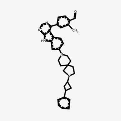 Cc1cc(-c2ncnc3[nH]c4cc(N5CCC6(CC5)CCN(C5CC(c7ccccc7)C5)C6)ccc4c23)ccc1C=O